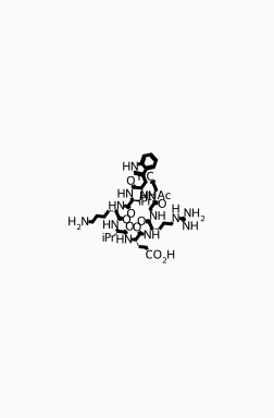 C#CCNC(=O)CNC(=O)[C@H](CCCNC(=N)N)NC(=O)[C@H](CCC(=O)O)NC(=O)[C@@H](NC(=O)[C@H](CCCCN)NC(=O)[C@@H](NC(=O)[C@H](Cc1c[nH]c2ccccc12)NC(C)=O)C(C)C)C(C)C